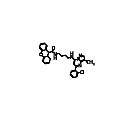 Cc1cnn2c(NCCCCNC(=O)C3c4ccccc4OC4=CC=CCC43)cc(-c3ccccc3Cl)nc12